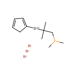 CP(C)C[C](C)(C)[Zr+3][C]1=CC=CC1.[Br-].[Br-].[Br-]